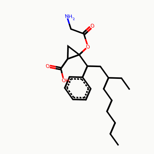 CCCCCCC(CC)CC(c1ccccc1)C1(OC(=O)CN)CC1C(=O)O